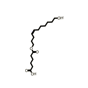 O=C(O)CCCCC(=O)OCCC/C=C\CCCCCCO